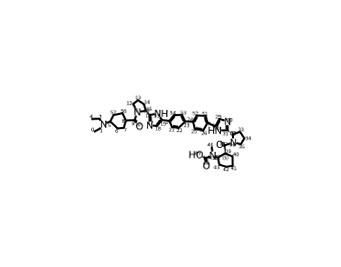 CCN(CC)C1CCC(C(=O)N2CCC[C@H]2c2ncc(-c3ccc(-c4ccc(-c5cnc([C@@H]6CCCN6C(=O)[C@H]6CCCC[C@H]6N(C)C(=O)O)[nH]5)cc4)cc3)[nH]2)CC1